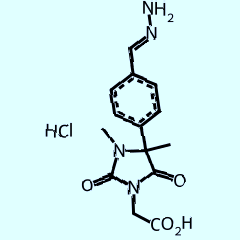 CN1C(=O)N(CC(=O)O)C(=O)C1(C)c1ccc(C=NN)cc1.Cl